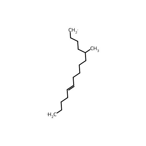 [CH2]CCC/C=C/CCCCC(C)CCC[CH2]